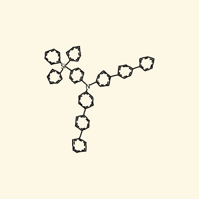 c1ccc(-c2ccc(-c3ccc(N(c4ccc(-c5ccc(-c6ccccc6)cc5)cc4)c4ccc([Si](c5ccccc5)(c5ccccc5)c5ccccc5)cc4)cc3)cc2)cc1